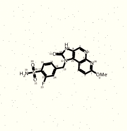 COc1ccc2c(ncc3[nH]c(=O)n(Cc4ccc(S(N)(=O)=O)c(F)c4)c32)n1